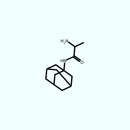 CC(N)C(=O)NC12CC3CC(CC(C3)C1)C2